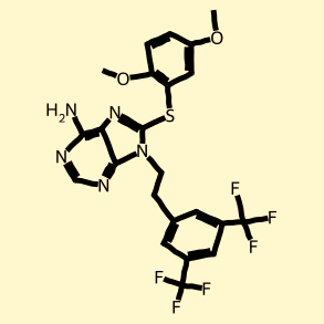 COc1ccc(OC)c(Sc2nc3c(N)ncnc3n2CCc2cc(C(F)(F)F)cc(C(F)(F)F)c2)c1